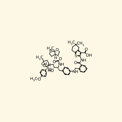 COc1ccc(S(=O)(=O)N(CC(C)C)C[C@@H](O)[C@H](Cc2ccc(NCc3ccccc3C(=O)Nc3sc4c(c3C(=O)O)CC(C)(C)CC4)cc2)NC(=O)O[C@H]2CO[C@@]3(C)OCC[C@@H]23)cc1